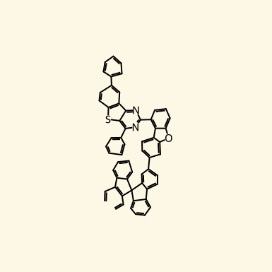 C=CC1=C(C=C)C2(c3ccccc31)c1ccccc1-c1ccc(-c3ccc4c(c3)oc3cccc(-c5nc(-c6ccccc6)c6sc7ccc(-c8ccccc8)cc7c6n5)c34)cc12